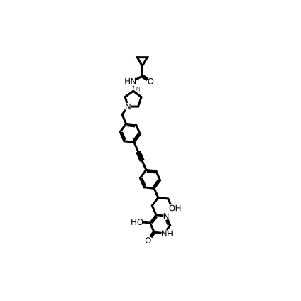 O=C(N[C@@H]1CCN(Cc2ccc(C#Cc3ccc(C(CO)Cc4nc[nH]c(=O)c4O)cc3)cc2)C1)C1CC1